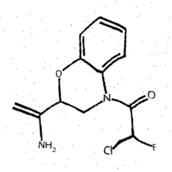 C=C(N)C1CN(C(=O)C(F)Cl)c2ccccc2O1